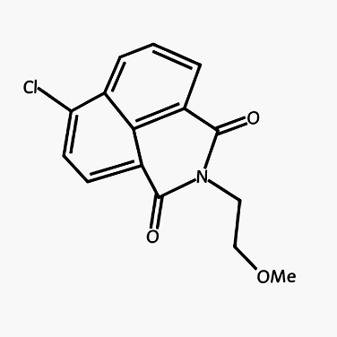 COCCN1C(=O)c2cccc3c(Cl)ccc(c23)C1=O